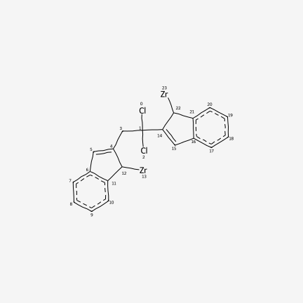 ClC(Cl)(CC1=Cc2ccccc2[CH]1[Zr])C1=Cc2ccccc2[CH]1[Zr]